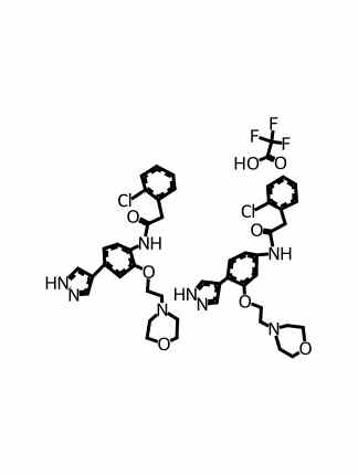 O=C(Cc1ccccc1Cl)Nc1ccc(-c2cn[nH]c2)c(OCCN2CCOCC2)c1.O=C(Cc1ccccc1Cl)Nc1ccc(-c2cn[nH]c2)cc1OCCN1CCOCC1.O=C(O)C(F)(F)F